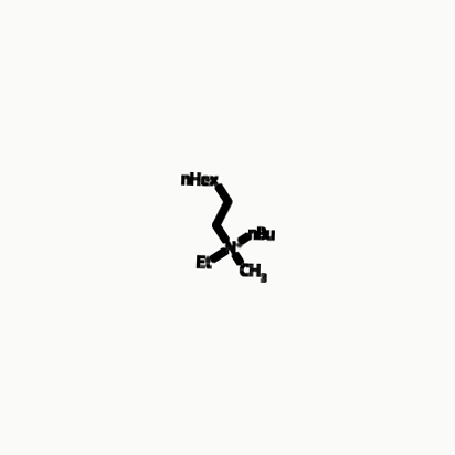 CCCCCCCC[N+](C)(CC)CCCC